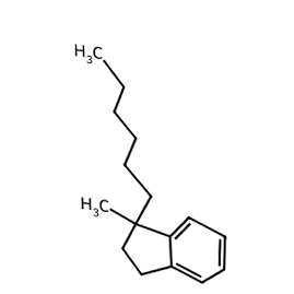 CCCCCCC1(C)CCc2ccccc21